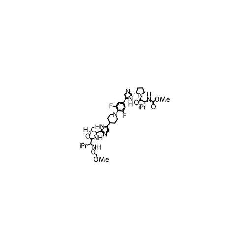 COCON[C@H](C(=O)N[C@@H](C)c1ncc(C2CCN(c3c(F)cc(-c4cnc([C@@H]5CCCN5C(=O)[C@@H](NC(=O)OC)C(C)C)[nH]4)cc3F)CC2)[nH]1)C(C)C